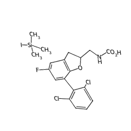 C[Si](C)(C)I.O=C(O)NCC1Cc2cc(F)cc(-c3c(Cl)cccc3Cl)c2O1